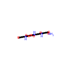 NOC(=O)CCCCCCCNC(=O)CCCCCCCNC(=O)CCOCCOCCC(=O)NCCCCCCCC=O